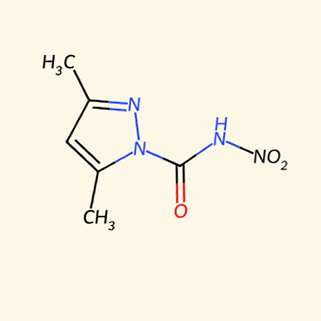 Cc1cc(C)n(C(=O)N[N+](=O)[O-])n1